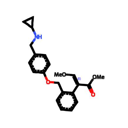 CO/C=C(/C(=O)OC)c1ccccc1COc1ccc(CNC2CC2)cc1